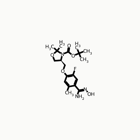 Cc1cc(OC[C@H]2COC(C)(C)N2C(=O)OC(C)(C)C)c(F)cc1/C(N)=N/O